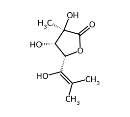 CC(C)=C(O)[C@H]1OC(=O)[C@](C)(O)[C@H]1O